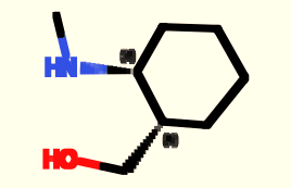 CN[C@@H]1CCCC[C@@H]1CO